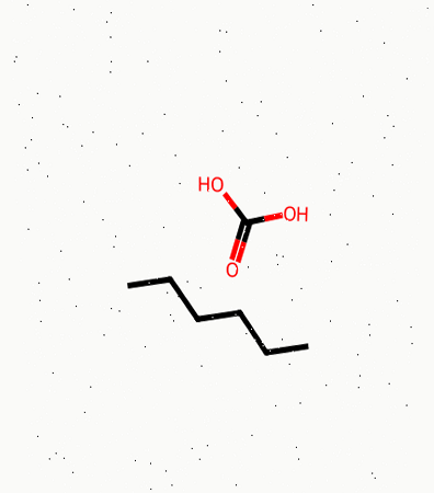 CCCCCC.O=C(O)O